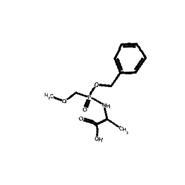 COCP(=O)(NC(C)C(=O)O)OCc1ccccc1